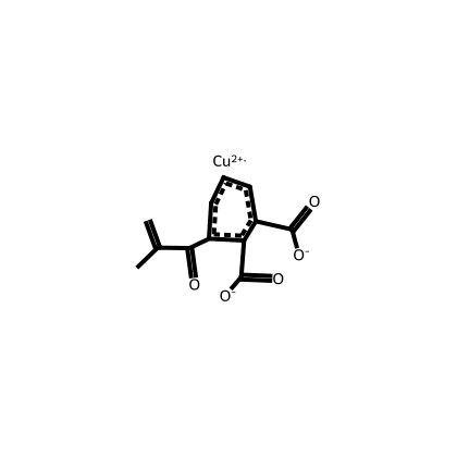 C=C(C)C(=O)c1cccc(C(=O)[O-])c1C(=O)[O-].[Cu+2]